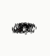 CON1C(C)(C)CC(N(CCCCCCN(c2nc(N(C)C3CC(C)(C)NC(C)(C)C3)nc(N(C)C3CC(C)(C)N(C)C(C)(C)C3)n2)C2CC(C)(C)N(OC)C(C)(C)C2)c2nc(N(C)C3CC(C)(C)NC(C)(C)C3)nc(N(C)C3CC(C)(C)N(C)C(C)(C)C3)n2)CC1(C)C